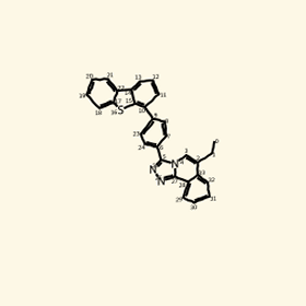 CCc1cn2c(-c3ccc(-c4cccc5c4sc4ccccc45)cc3)nnc2c2ccccc12